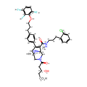 O=C(O)C[C@@H](O)CC(=O)N1C[C@H]2CC(c3ccc(CCCOc4c(F)ccc(F)c4F)cc3)=C(C(=O)NCCCc3ccccc3Cl)[C@@H](C1)N2